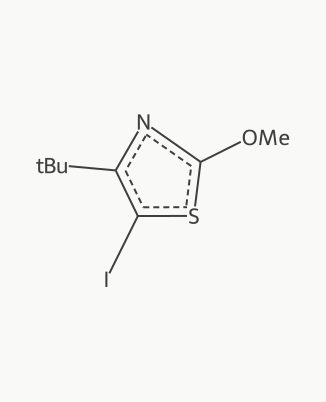 COc1nc(C(C)(C)C)c(I)s1